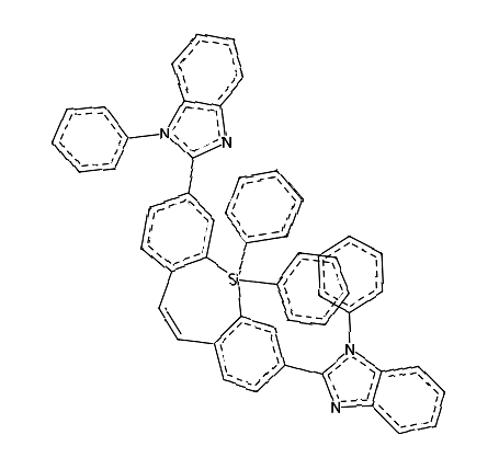 C1=Cc2ccc(-c3nc4ccccc4n3-c3ccccc3)cc2[Si](c2ccccc2)(c2ccccc2)c2cc(-c3nc4ccccc4n3-c3ccccc3)ccc21